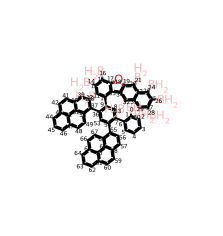 Bc1ccccc1-c1cc(-c2c(B)c(B)c(B)c3oc4c(B)c5c(B)c(B)c(B)c(B)c5c(B)c4c23)c(-c2ccc3ccc4cccc5ccc2c3c45)cc1-c1ccc2ccc3cccc4ccc1c2c34